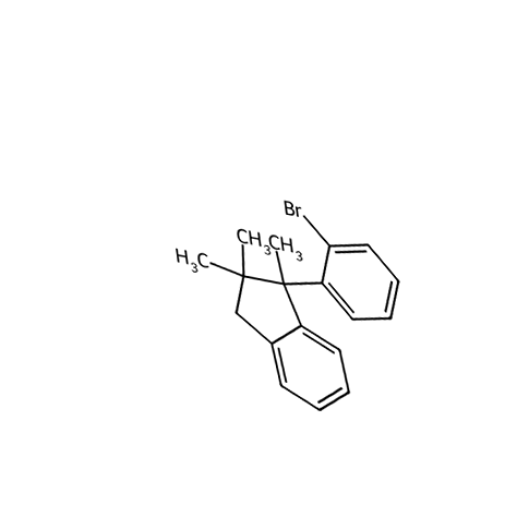 CC1(C)Cc2ccccc2C1(C)c1ccccc1Br